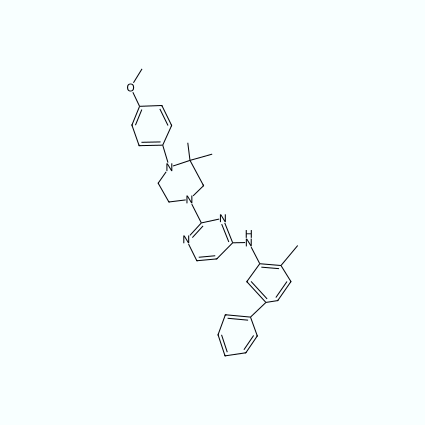 COc1ccc(N2CCN(c3nccc(Nc4cc(-c5ccccc5)ccc4C)n3)CC2(C)C)cc1